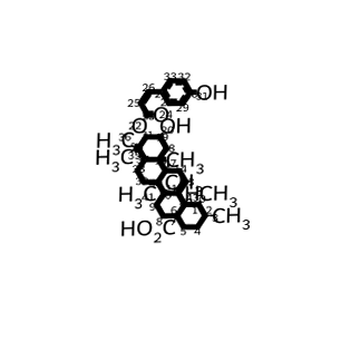 C[C@H]1[C@H](C)CC[C@]2(C(=O)O)CC[C@]3(C)C(=CCC4C5(C)C[C@@H](O)[C@@H](OC(=O)/C=C\c6ccc(O)cc6)C(C)(C)C5CC[C@]43C)[C@H]12